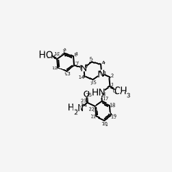 CC(CN1CCN(c2ccc(O)cc2)CC1)Nc1ccccc1C(N)=O